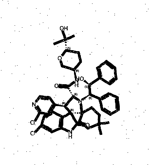 CC1(C)CCC2(CC1)N([C@H](c1ccccc1)[C@@H](O)c1ccccc1)[C@@H](C(=O)N[C@@H]1CC[C@@H](C(C)(C)O)OC1)[C@H](c1ccnc(Cl)c1)[C@]21C(=O)Nc2cc(Cl)ccc21